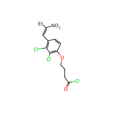 CCC(=Cc1ccc(OCCCC(=O)Cl)c(Cl)c1Cl)[N+](=O)[O-]